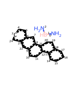 NBN.c1ccc2cc3c(ccc4c5ccccc5ccc34)cc2c1